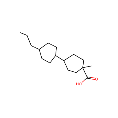 CCCC1CCC(C2CCC(C)(C(=O)O)CC2)CC1